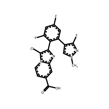 Cn1cc(-c2cc(F)cc(F)c2-c2nc3cc(C(=O)O)ccn3c2Cl)c(F)n1